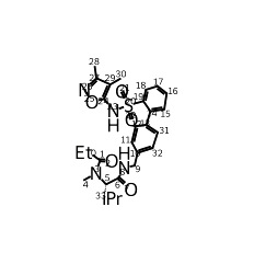 CCC(=O)N(C)[C@H](C(=O)NCc1ccc(-c2ccccc2S(=O)(=O)Nc2onc(C)c2C)cc1)C(C)C